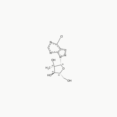 C[C@@]1(O)[C@H](O)[C@@H](CO)O[C@H]1n1ncc2c(Cl)ncnc21